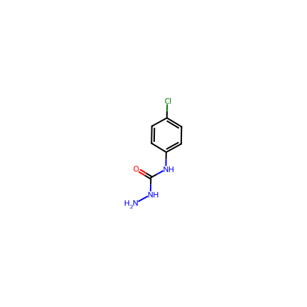 NNC(=O)Nc1ccc(Cl)cc1